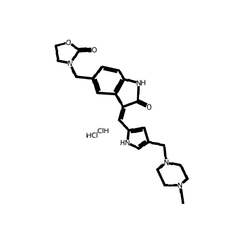 CN1CCN(Cc2c[nH]c(/C=C3\C(=O)Nc4ccc(CN5CCOC5=O)cc43)c2)CC1.Cl.Cl